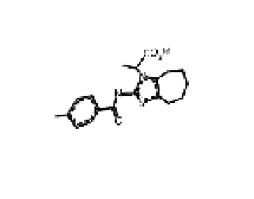 Cc1ccc(C(=O)N=c2sc3c(n2C(C)C(=O)O)CCCCC3)cc1